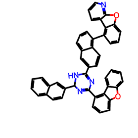 c1ccc2cc(C3N=C(c4cccc5oc6ccccc6c45)N=C(c4ccc5c(-c6cccc7oc8ncccc8c67)cccc5c4)N3)ccc2c1